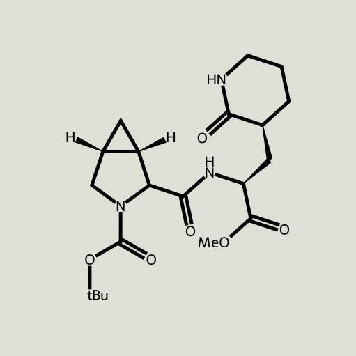 COC(=O)[C@H](C[C@@H]1CCCNC1=O)NC(=O)C1[C@H]2C[C@H]2CN1C(=O)OC(C)(C)C